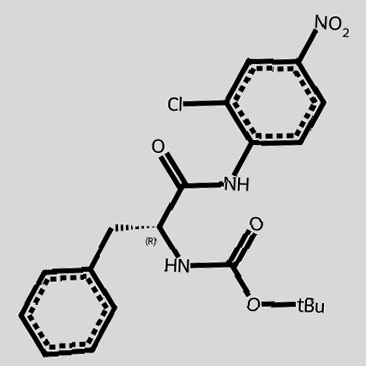 CC(C)(C)OC(=O)N[C@H](Cc1ccccc1)C(=O)Nc1ccc([N+](=O)[O-])cc1Cl